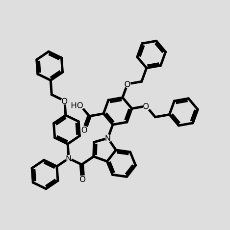 O=C(O)c1cc(OCc2ccccc2)c(OCc2ccccc2)cc1-n1cc(C(=O)N(c2ccccc2)c2ccc(OCc3ccccc3)cc2)c2ccccc21